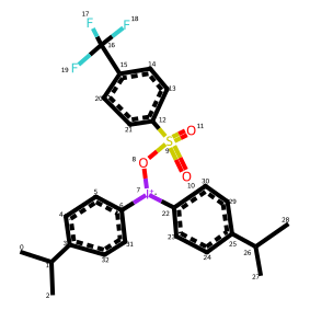 CC(C)c1ccc([I+](OS(=O)(=O)c2ccc(C(F)(F)F)cc2)c2ccc(C(C)C)cc2)cc1